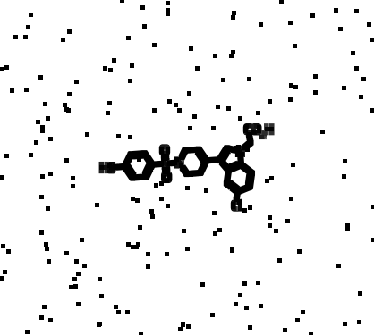 O=C(O)Cn1cc(C2=CCN(S(=O)(=O)c3ccc(S)cc3)CC2)c2cc(Cl)ccc21